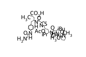 CCC(C)C(NC(=O)[C@@]1(C)CCCN1C)C(=O)N(C)C(CC(OC(C)=O)c1nc(C(=O)NC(Cc2ccc(NC(=O)CN)cc2)CC(C)C(=O)O)cs1)C(C)C